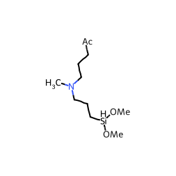 CO[SiH](CCCN(C)CCCC(C)=O)OC